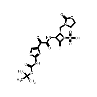 CC(C)(C)OC(=O)Nc1nc(C(=O)C(=O)N[C@@H]2C(=O)N(S(=O)(=O)O)[C@@H]2CN2CCOC2=O)cs1